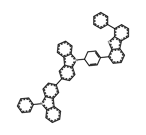 C1=CC(n2c3ccccc3c3cc(-c4ccc5c(c4)c4ccccc4n5-c4ccccc4)ccc32)CC=C1c1cccc2c1sc1c(-c3ccccc3)cccc12